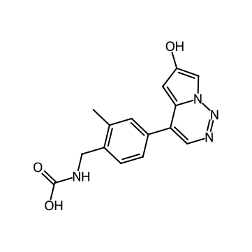 Cc1cc(-c2cnnn3cc(O)cc23)ccc1CNC(=O)O